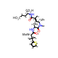 CN[C@H](C(=O)NC(C(=O)N(C)[C@H](/C=C(\C)C(=O)N[C@H](CCC(=O)O)C(=O)O)C(C)C)C(C)(C)C)C(C)(C)c1cccs1